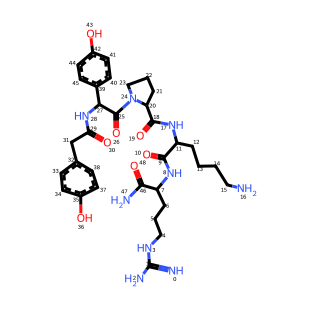 N=C(N)NCCCC(NC(=O)C(CCCCN)NC(=O)C1CCCN1C(=O)C(NC(=O)Cc1ccc(O)cc1)c1ccc(O)cc1)C(N)=O